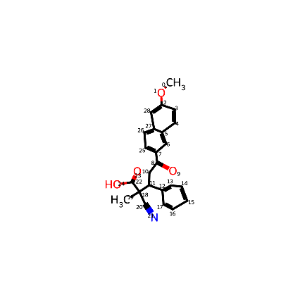 COc1ccc2cc(C(=O)CC(c3ccccc3)C(C)(C#N)C(=O)O)ccc2c1